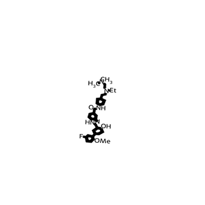 CCN(CCc1ccc(NC(=O)c2ccc3[nH]c(-c4cc(-c5cc(F)ccc5OC)ccc4O)nc3c2)cc1)CCN(C)C